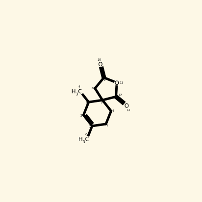 CC1=CC(C)C2(CC1)CC(=O)OC2=O